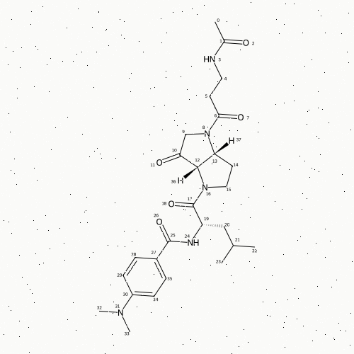 CC(=O)NCCC(=O)N1CC(=O)[C@@H]2[C@H]1CCN2C(=O)[C@H](CC(C)C)NC(=O)c1ccc(N(C)C)cc1